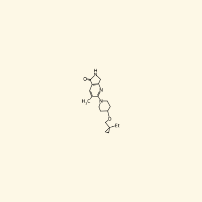 CCC1(COC2CCN(c3nc4c(cc3C)C(=O)NC4)CC2)CC1